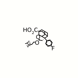 C[Si](C)(C)CCOC(=O)C[C@]1(c2ccc(F)cc2)C2CC3CC1C[C@@](C(=O)O)(C3)C2